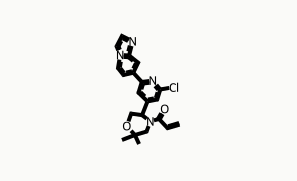 C=CC(=O)N1CC(C)(C)OCC1c1cc(Cl)nc(-c2ccn3ccnc3c2)c1